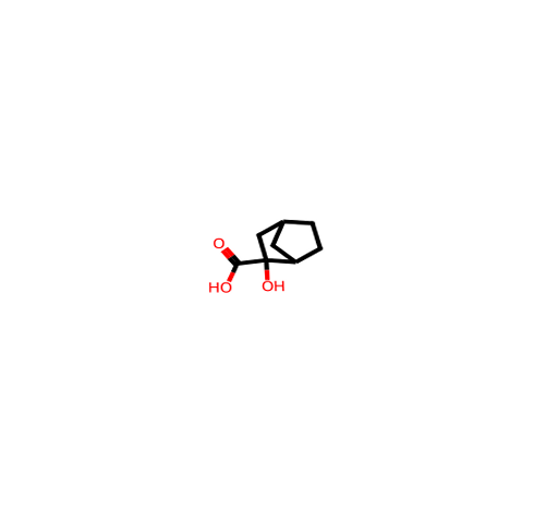 O=C(O)C1(O)CC2CCC1C2